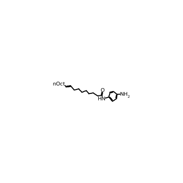 CCCCCCCCC=CCCCCCCCC(=O)Nc1ccc(N)cc1